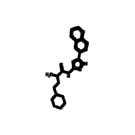 CC(CCN1CCCCC1)C(=O)Nc1cc(-c2ccc3ncccc3c2)[nH]n1